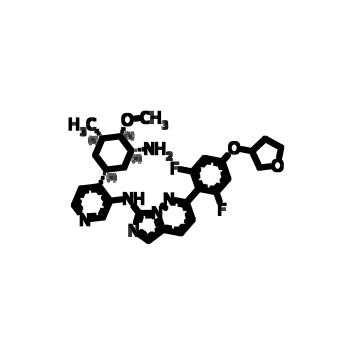 CO[C@@H]1[C@H](N)C[C@H](c2ccncc2Nc2ncc3ccc(-c4c(F)cc(OC5CCOC5)cc4F)nn23)C[C@@H]1C